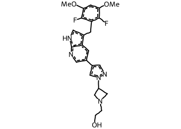 COc1cc(OC)c(F)c(Cc2c[nH]c3ncc(-c4cnn(C5CN(CCO)C5)c4)cc23)c1F